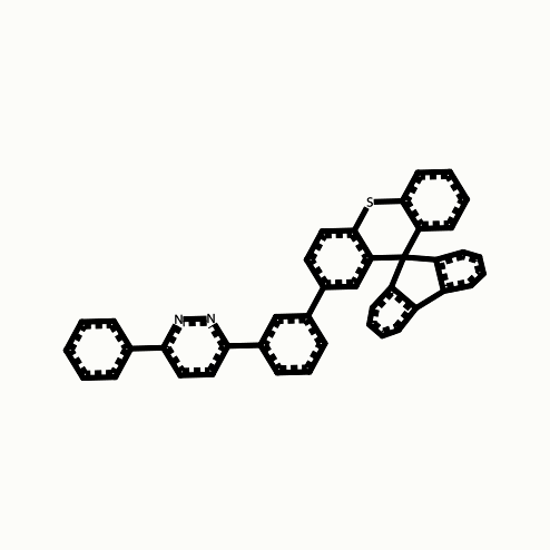 c1ccc(-c2ccc(-c3cccc(-c4ccc5c(c4)C4(c6ccccc6S5)c5ccccc5-c5ccccc54)c3)nn2)cc1